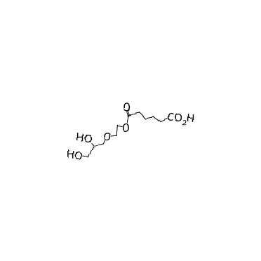 O=C(O)CCCCC(=O)OCCOCC(O)CO